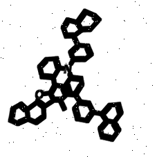 Cc1cc(-c2ccccc2N(c2ccc(-c3cccc(-c4cccc5ccccc45)c3)cc2)c2cccc(-c3cccc4ccccc34)c2)c2oc3c4ccccc4ccc3c2c1C